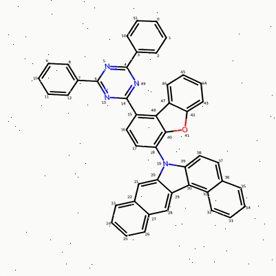 c1ccc(-c2nc(-c3ccccc3)nc(-c3ccc(-n4c5cc6ccccc6cc5c5c6ccccc6ccc54)c4oc5ccccc5c34)n2)cc1